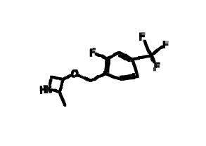 CC1NCC1OCc1ccc(C(F)(F)F)cc1F